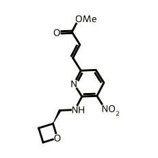 COC(=O)/C=C/c1ccc([N+](=O)[O-])c(NC[C@@H]2CCO2)n1